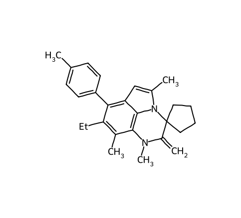 C=C1N(C)c2c(C)c(CC)c(-c3ccc(C)cc3)c3cc(C)n(c23)C12CCCC2